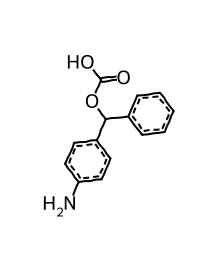 Nc1ccc(C(OC(=O)O)c2ccccc2)cc1